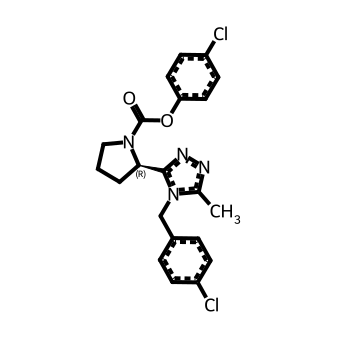 Cc1nnc([C@H]2CCCN2C(=O)Oc2ccc(Cl)cc2)n1Cc1ccc(Cl)cc1